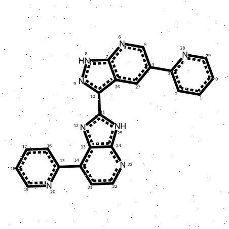 c1ccc(-c2cnc3[nH]nc(-c4nc5c(-c6ccccn6)ccnc5[nH]4)c3c2)nc1